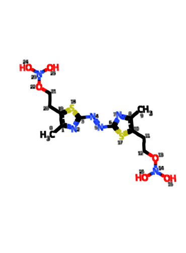 Cc1nc(N=Nc2nc(C)c(CCON(O)O)s2)sc1CCON(O)O